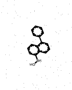 OBc1cccc2c(-c3ccccc3)cccc12